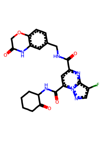 O=C1COc2ccc(CNC(=O)c3cc(C(=O)NC4CCCCC4=O)n4ncc(F)c4n3)cc2N1